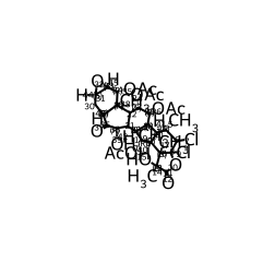 CC(=O)O[C@H]1[C@@H]2[C@H]([C@H](C)C(Cl)C3(Cl)OC(=O)[C@@](C)(O)[C@]23C)[C@]2(C)[C@@H]1C1C([C@H](OC(C)=O)[C@@H]2OC(C)=O)[C@]2(C)[C@H](C[C@@H]3O[C@@H]3[C@@H]2OC(C)=O)C(=O)[C@@H]1O